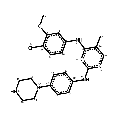 COc1cc(Nc2nc(Nc3ccc(N4CCNCC4)cc3)ncc2C)ccc1Cl